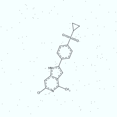 Cc1nc(Cl)cc2[nH]c(-c3ccc(S(=O)(=O)C4CC4)cc3)cc12